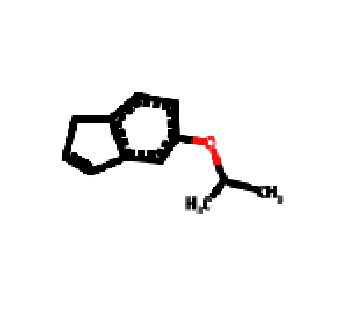 CC(C)Oc1ccc2c(c1)C=CC2